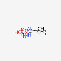 CC(C)C#Cc1ccc(Oc2[nH]nnc2C(=O)O)nc1